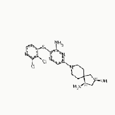 Nc1nc(N2CCC3(CC2)C[C@@H](O)C[C@H]3N)cnc1Sc1ccnc(Cl)c1Cl